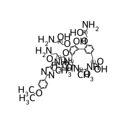 Cc1nc(-c2ccc(OC(C)C)cc2)ncc1C(=O)N[C@@H](CCN)C(=O)N(C)[C@@H]1C(=O)N[C@@H](C)C(=O)N[C@H](C(=O)O)Cc2ccc(OC[C@H](O)CN)c(c2)-c2cc1cc(OC[C@H](O)CN)c2O